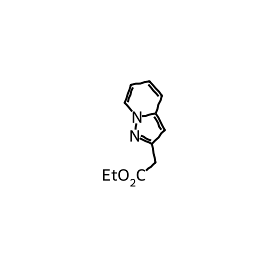 CCOC(=O)Cc1cc2ccccn2n1